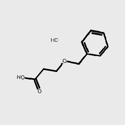 Cl.O=C(O)CCOCc1ccccc1